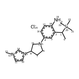 CC(c1cc(N2CCC(n3cc[n+](C)c3)C2)ccc1N)[Si](C)(C)C.[Cl-]